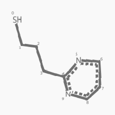 SCCCc1ncccn1